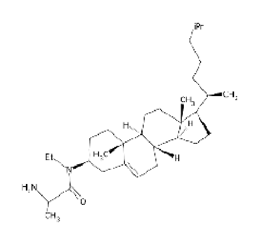 CCN(C(=O)C(C)N)[C@H]1CC[C@@]2(C)C(=CC[C@H]3[C@@H]4CC[C@H]([C@H](C)CCCC(C)C)[C@@]4(C)CC[C@@H]32)C1